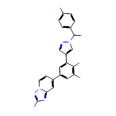 CC(c1ccc(F)cc1)n1cc(-c2cc(-c3ccn4nc(N)nc4c3)cc(F)c2F)cn1